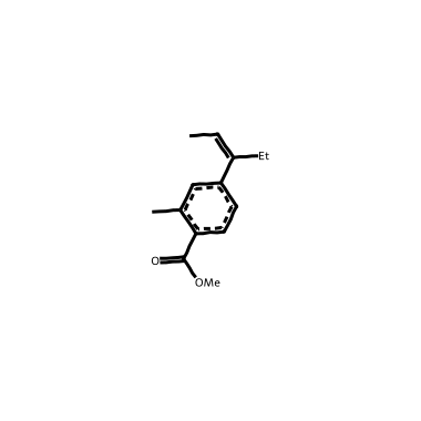 C/C=C(/CC)c1ccc(C(=O)OC)c(C)c1